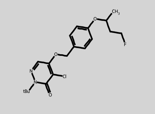 CC(CCF)Oc1ccc(COc2cnn(C(C)(C)C)c(=O)c2Cl)cc1